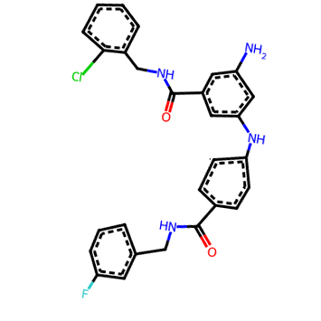 Nc1cc(Nc2[c]cc(C(=O)NCc3cccc(F)c3)cc2)cc(C(=O)NCc2ccccc2Cl)c1